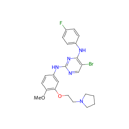 COc1ccc(Nc2ncc(Br)c(Nc3ccc(F)cc3)n2)cc1OCCN1CCCC1